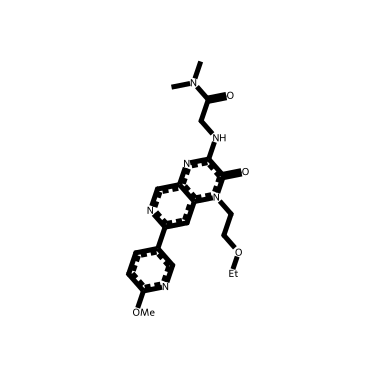 CCOCCn1c(=O)c(NCC(=O)N(C)C)nc2cnc(-c3ccc(OC)nc3)cc21